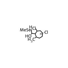 CSNC(O)C1C(C)CC[C@@H](Cl)CC1Cl